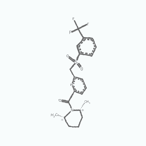 C[C@@H]1CCC[C@H](C)N1C(=O)c1cccc(CS(=O)(=O)c2cccc(C(F)(F)F)c2)n1